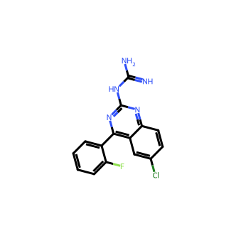 N=C(N)Nc1nc(-c2ccccc2F)c2cc(Cl)ccc2n1